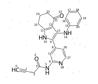 C#CCC(=O)Nc1cc(-c2[nH]c3c(c2Nc2ccccc2)C(=O)CCC3)ccn1